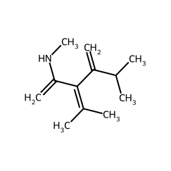 C=C(NC)C(C(=C)C(C)C)=C(C)C